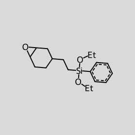 CCO[Si](CCC1CCC2OC2C1)(OCC)c1ccccc1